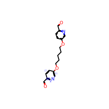 C=C(C=O)/C=C\C(=C/N)OCCCCCOc1ccc(C=O)nc1